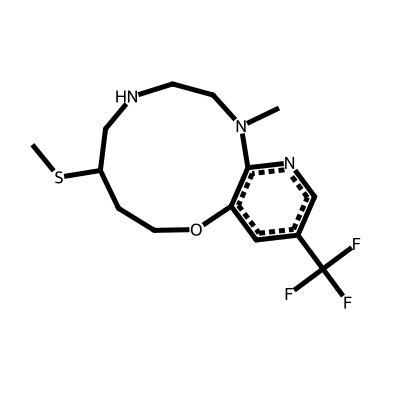 CSC1CCOc2cc(C(F)(F)F)cnc2N(C)CCNC1